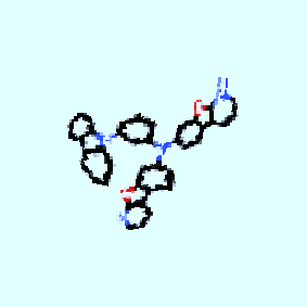 C1=Cc2c(oc3cc(N(c4cccc(-n5c6ccccc6c6ccccc65)c4)c4ccc5c(c4)oc4ncccc45)ccc23)NC1